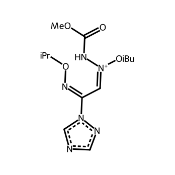 COC(=O)N[N+](=CC(=NOC(C)C)n1cncn1)OCC(C)C